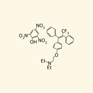 CCN(CC)CCOc1ccc(C(=C(c2ccccc2)C(F)(F)F)c2ccccc2)cc1.O=[N+]([O-])c1cc([N+](=O)[O-])c(O)c([N+](=O)[O-])c1